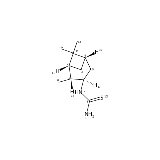 C[C@@H]1[C@H]2C[C@@H](C[C@H]1NC(N)=S)C2(C)C